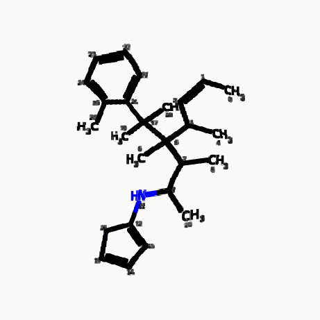 C/C=C\C(C)C(C)(C(C)C(C)NC1=CC=CC1)C(C)(C)c1ccccc1C